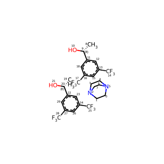 C1CN2CCN1CC2.C[C@@H](O)c1cc(C(F)(F)F)cc(C(F)(F)F)c1.C[C@@H](O)c1cc(C(F)(F)F)cc(C(F)(F)F)c1